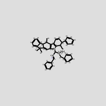 CC1c2c(c3c(n2C(/N=C/c2ccccc2)N(N)Cc2ccccc2)C=C2C(c4ccccc4C2(C)C)C3C)C=CC1c1ccccc1